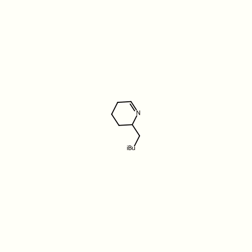 CCC(C)CC1CCCC=N1